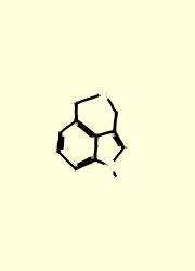 Cl.Cn1cc2c3c(cccc31)CNC2